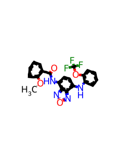 COc1ccccc1C(=O)Nc1ccc(Nc2ccccc2OC(F)(F)F)c2nonc12